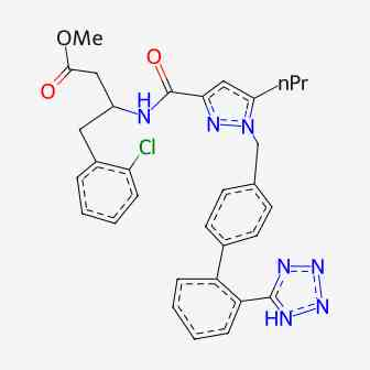 CCCc1cc(C(=O)NC(CC(=O)OC)Cc2ccccc2Cl)nn1Cc1ccc(-c2ccccc2-c2nnn[nH]2)cc1